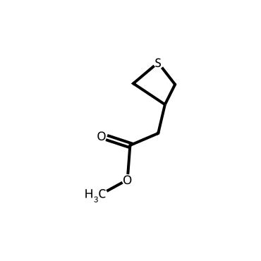 COC(=O)CC1CSC1